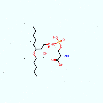 CCCCCO[C@@H](CCCCC)[C@@H](O)CO.N[C@@H](COP(=O)(O)O)C(=O)O